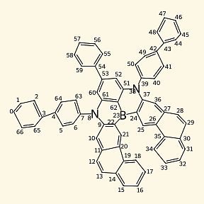 c1ccc(-c2ccc(N3c4cc5ccc6ccccc6c5cc4B4c5cc6c(ccc7ccccc76)cc5N(c5ccc(-c6ccccc6)cc5)c5cc(-c6ccccc6)cc3c54)cc2)cc1